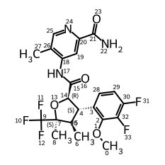 COc1c([C@@H]2[C@@H](C)[C@@](C)(C(F)(F)F)O[C@H]2C(=O)Nc2cc(C(N)=O)ncc2C)ccc(F)c1F